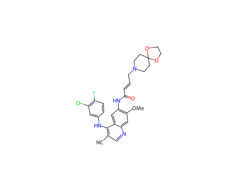 COc1cc2ncc(C#N)c(Nc3ccc(F)c(Cl)c3)c2cc1NC(=O)C=CCN1CCC2(CC1)OCCO2